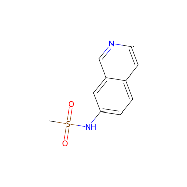 CS(=O)(=O)Nc1ccc2c[c]ncc2c1